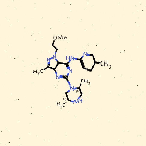 COCCN1N=C(C)C2N=C(N3C[C@@H](C)NC[C@@H]3C)N=C(NC3=CCC(C)C=N3)C21